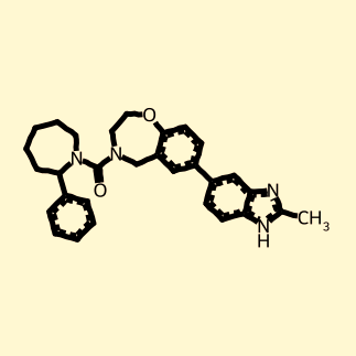 Cc1nc2cc(-c3ccc4c(c3)CN(C(=O)N3CCCCCC3c3ccccc3)CCO4)ccc2[nH]1